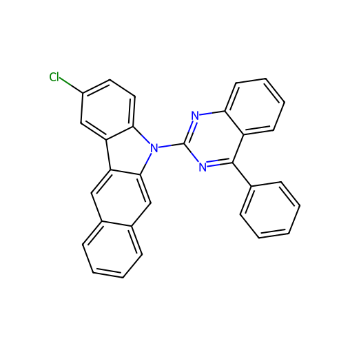 Clc1ccc2c(c1)c1cc3ccccc3cc1n2-c1nc(-c2ccccc2)c2ccccc2n1